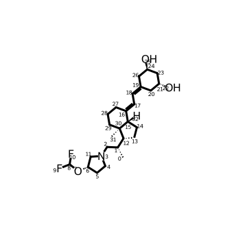 C[C@H](CN1CC[C@H](OC(F)F)C1)[C@H]1CC[C@H]2/C(=C/C=C3C[C@@H](O)C[C@H](O)C3)CCC[C@]12C